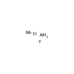 [AlH3].[Cr].[Nb].[Y]